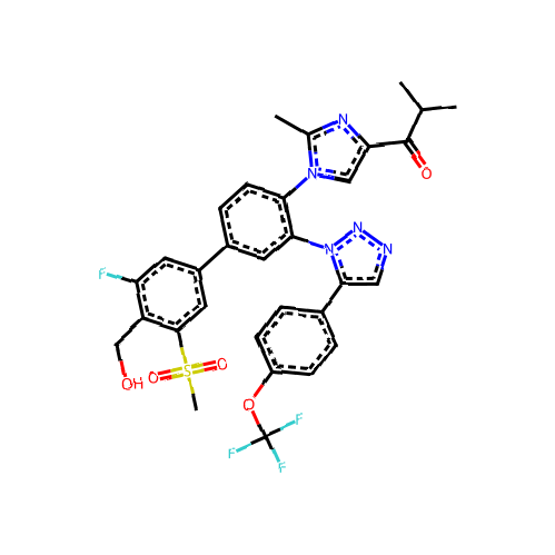 Cc1nc(C(=O)C(C)C)cn1-c1ccc(-c2cc(F)c(CO)c(S(C)(=O)=O)c2)cc1-n1nncc1-c1ccc(OC(F)(F)F)cc1